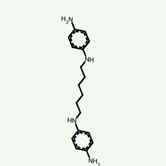 Nc1ccc(NCCCCCCNc2ccc(N)cc2)cc1